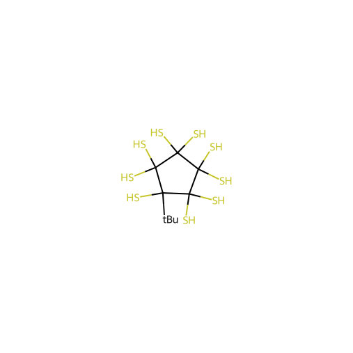 CC(C)(C)C1(S)C(S)(S)C(S)(S)C(S)(S)C1(S)S